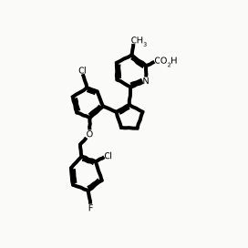 Cc1ccc(C2=C(c3cc(Cl)ccc3OCc3ccc(F)cc3Cl)CCC2)nc1C(=O)O